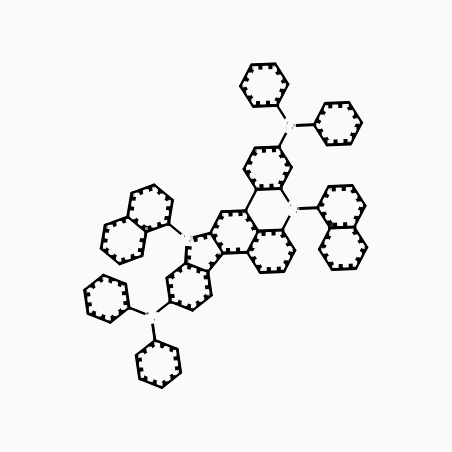 c1ccc(N(c2ccccc2)c2ccc3c(c2)N(c2cccc4ccccc24)c2cccc4c2c-3cc2c4c3ccc(N(c4ccccc4)c4ccccc4)cc3n2-c2cccc3ccccc23)cc1